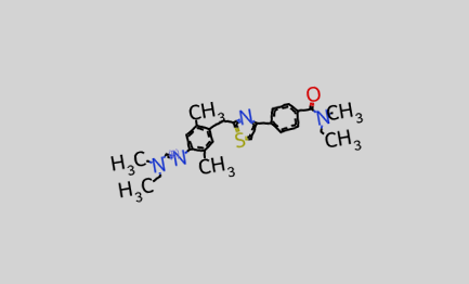 CCN(C)/C=N/c1cc(C)c(Cc2nc(-c3ccc(C(=O)N(C)CC)cc3)cs2)cc1C